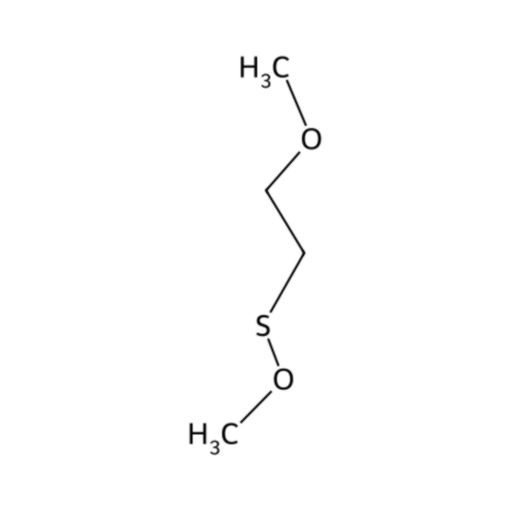 COCCSOC